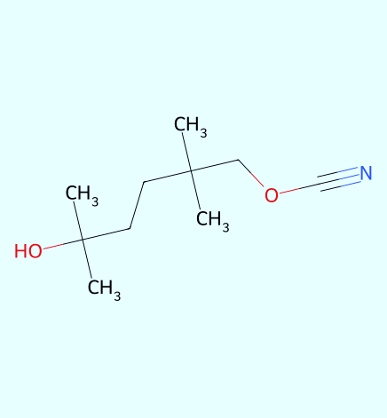 CC(C)(O)CCC(C)(C)COC#N